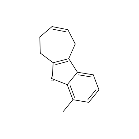 Cc1cccc2c3c(sc12)CCC=CC3